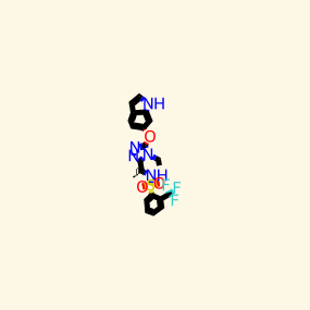 CCn1c(Oc2ccc3cc[nH]c3c2)nnc1[C@@H](C)NS(=O)(=O)c1ccccc1C(F)(F)F